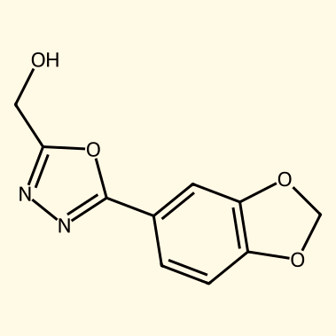 OCc1nnc(-c2ccc3c(c2)OCO3)o1